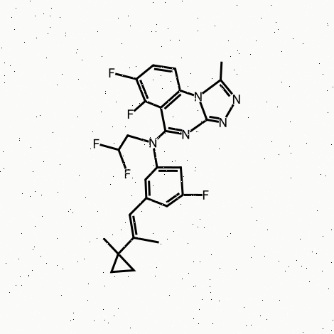 C/C(=C\c1cc(F)cc(N(CC(F)F)c2nc3nnc(C)n3c3ccc(F)c(F)c23)c1)C1(C)CC1